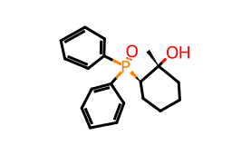 C[C@@]1(O)CCCC[C@H]1P(=O)(c1ccccc1)c1ccccc1